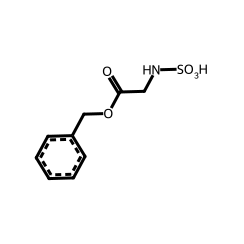 O=C(CNS(=O)(=O)O)OCc1ccccc1